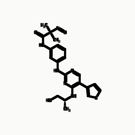 C[C@H](CO)Nc1nc(Nc2cccc(NC(=O)S(C)(C)N=O)c2)ncc1-c1ccsc1